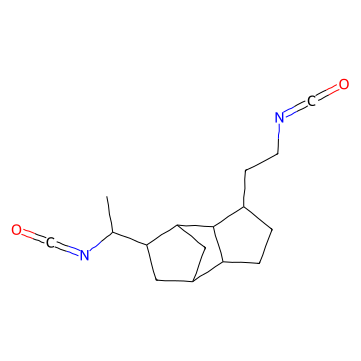 CC(N=C=O)C1CC2CC1C1C(CCN=C=O)CCC21